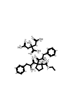 CCOC(=O)C1(N)CCCC1(C(=O)C(N)Cc1ccccc1)C(=O)C(N)Cc1ccccc1.O=C(O)CC(O)(CC(=O)O)C(=O)O